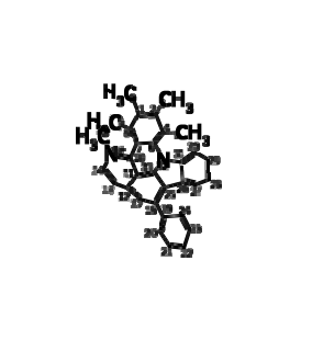 Cc1c(C)c(C)c2c(c1C)c1c3c(cc[n+]1C)cc(-c1ccccc1)c1c4ccccc4n2c13